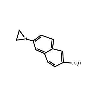 O=C(O)c1ccc2cc(N3CC3)ccc2c1